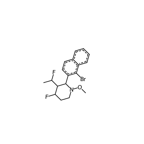 CON1CCC(F)C(C(C)F)C1c1ccc2ccccc2c1Br